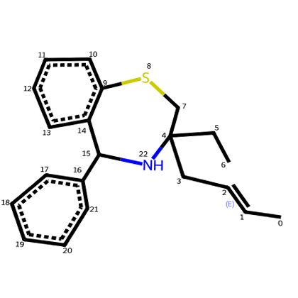 C/C=C/CC1(CC)CSc2ccccc2C(c2ccccc2)N1